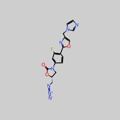 [N-]=[N+]=NC[C@H]1CN(c2ccc(-c3nc(Cn4ccnc4)co3)c(F)c2)C(=O)O1